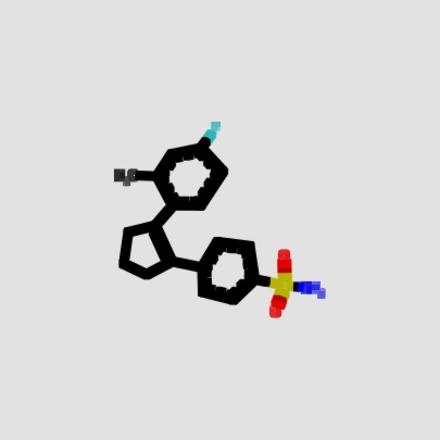 Cc1cc(F)ccc1C1=C(c2ccc(S(N)(=O)=O)cc2)CCC1